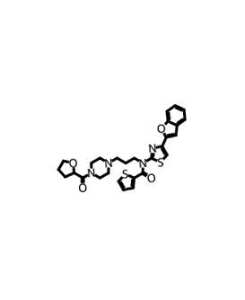 O=C(C1CCCO1)N1CCN(CCCN(C(=O)c2cccs2)c2nc(-c3cc4ccccc4o3)cs2)CC1